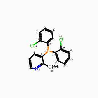 COc1ncccc1P(c1ccccc1Cl)c1ccccc1Cl